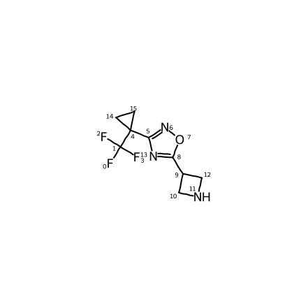 FC(F)(F)C1(c2noc(C3CNC3)n2)CC1